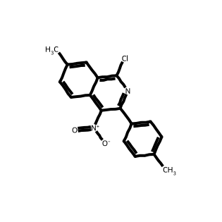 Cc1ccc(-c2nc(Cl)c3cc(C)ccc3c2[N+](=O)[O-])cc1